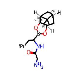 CC(C)CC(NC(=O)CN)B1O[C@@H]2C[C@@H]3C[C@@H](C3(C)C)[C@]2(C)O1